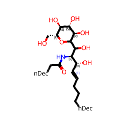 CCCCCCCCCCCCC/C=C/[C@@H](O)[C@@H](NC(=O)CCCCCCCCCCC)C(O)C1O[C@H](CO)[C@@H](O)[C@H](O)[C@H]1O